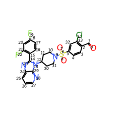 O=Cc1ccc(S(=O)(=O)N2CCC(n3c(-c4ccc(F)cc4F)nc4cccnc43)CC2)cc1Cl